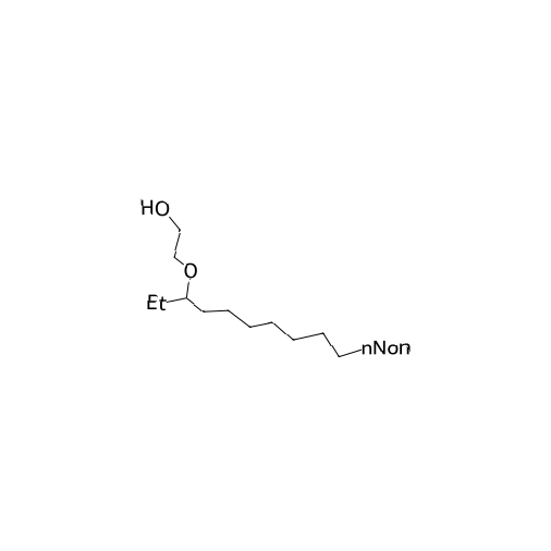 CCCCCCCCCCCCCCCCC(CC)OCCO